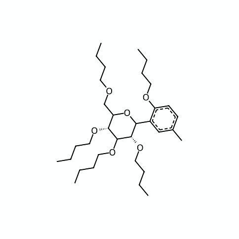 CCCCOCC1OC(c2cc(C)ccc2OCCCC)[C@H](OCCCC)C(OCCCC)[C@@H]1OCCCC